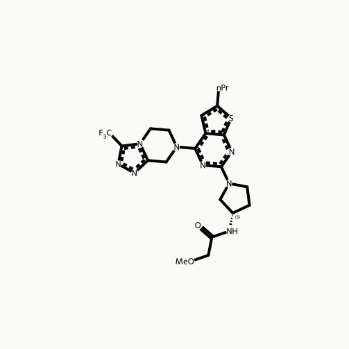 CCCc1cc2c(N3CCn4c(nnc4C(F)(F)F)C3)nc(N3CC[C@H](NC(=O)COC)C3)nc2s1